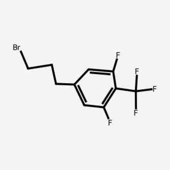 Fc1cc(CCCBr)cc(F)c1C(F)(F)F